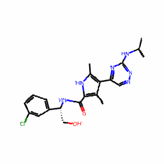 Cc1[nH]c(C(=O)N[C@H](CO)c2cccc(Cl)c2)c(C)c1-c1cnnc(NC(C)C)n1